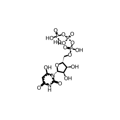 O=c1cc(O)n([C@@H]2O[C@H](COP(=O)(O)OP(=O)(O)OP(=O)(O)O)[C@@H](O)[C@H]2O)c(=O)[nH]1